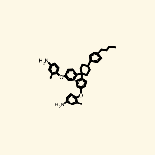 CCCCc1ccc(C2CCC(c3ccc(Oc4ccc(N)cc4C)cc3)(c3ccc(Oc4ccc(N)cc4C)cc3)CC2)cc1